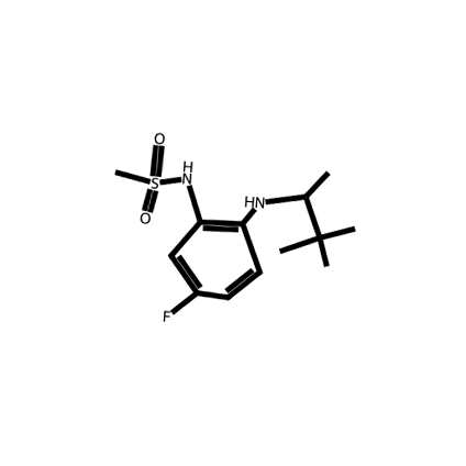 CC(Nc1ccc(F)cc1NS(C)(=O)=O)C(C)(C)C